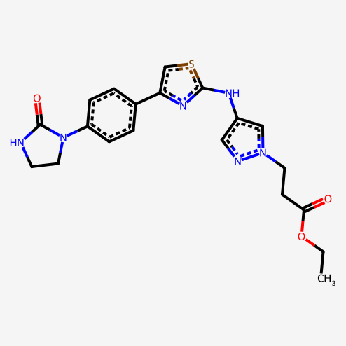 CCOC(=O)CCn1cc(Nc2nc(-c3ccc(N4CCNC4=O)cc3)cs2)cn1